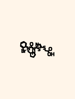 O=C(O)CSc1cnc(NC(=O)N(CC2CCCC2)c2ccccc2Br)s1